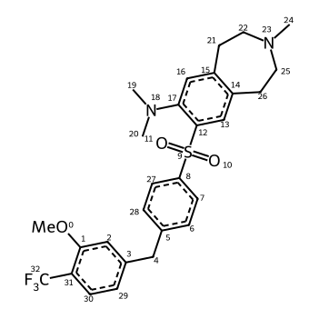 COc1cc(Cc2ccc(S(=O)(=O)c3cc4c(cc3N(C)C)CCN(C)CC4)cc2)ccc1C(F)(F)F